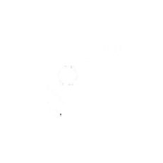 N#CCS(=O)(=O)c1ccc(CCC(=O)O)cc1